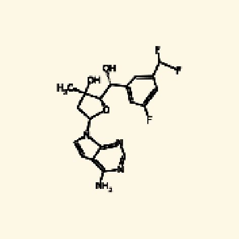 C[C@]1(O)C[C@H](n2ccc3c(N)ncnc32)O[C@@H]1[C@H](O)c1cc(F)cc(C(F)F)c1